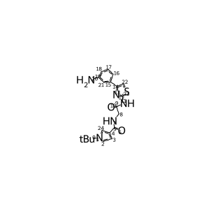 CC(C)(C)n1ccc(C(=O)NCC(=O)Nc2nc(-c3cccc(N)c3)cs2)c1